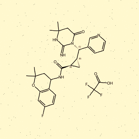 CC1(C)CC(=O)N([C@H](c2cccnc2)[C@@H]2C[C@H]2C(=O)NC2CC(C)(C)Oc3cc(F)ccc32)C(=N)N1.O=C(O)C(F)(F)F